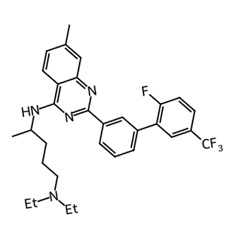 CCN(CC)CCCC(C)Nc1nc(-c2cccc(-c3cc(C(F)(F)F)ccc3F)c2)nc2cc(C)ccc12